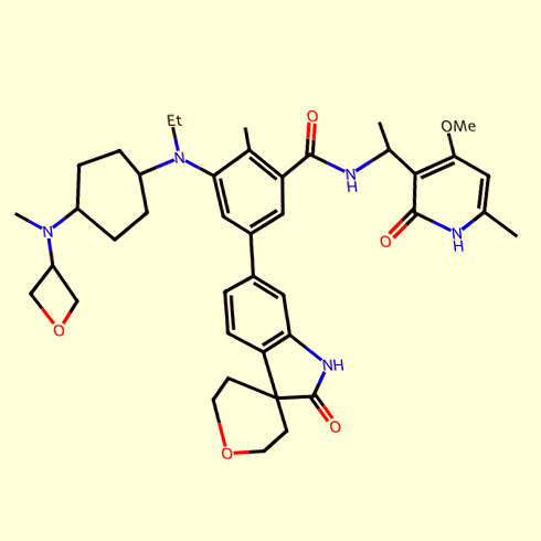 CCN(c1cc(-c2ccc3c(c2)NC(=O)C32CCOCC2)cc(C(=O)NC(C)c2c(OC)cc(C)[nH]c2=O)c1C)C1CCC(N(C)C2COC2)CC1